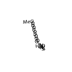 COCCOCCOCCOCCOCCOCCOCCOCCOCCOC(=O)/C=C/c1ccc(-c2nc3c(=O)n(Cc4ccccc4)c(=S)n(Cc4ccccc4)c3[nH]2)cc1